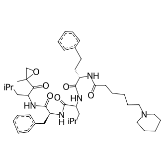 CC(C)CC(NC(=O)[C@H](CCc1ccccc1)NC(=O)CCCCCN1CCCCC1)C(=O)N[C@@H](Cc1ccccc1)C(=O)NC(CC(C)C)C(=O)C1(C)CO1